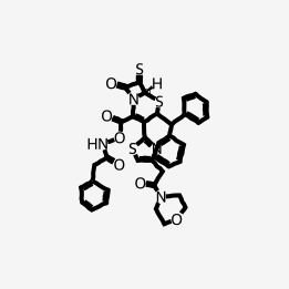 O=C(Cc1ccccc1)NOC(=O)C1=C(c2nc(CC(=O)N3CCOCC3)cs2)C(C(c2ccccc2)c2ccccc2)S[C@H]2C(=S)C(=O)N12